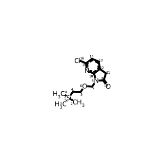 C[Si](C)(C)CCOCN1C(=O)Cc2ccc(Cl)nc21